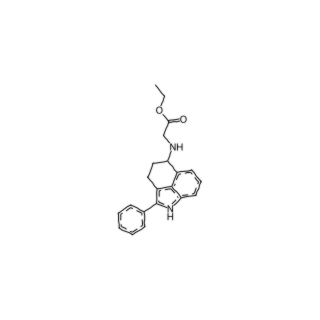 CCOC(=O)CNC1CCc2c(-c3ccccc3)[nH]c3cccc1c23